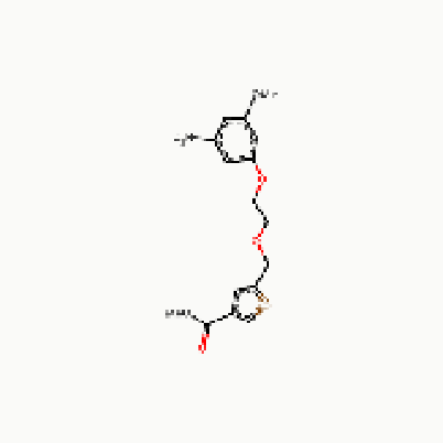 COC(=O)c1csc(COCCOc2cc(OC)cc([N+](=O)[O-])c2)c1